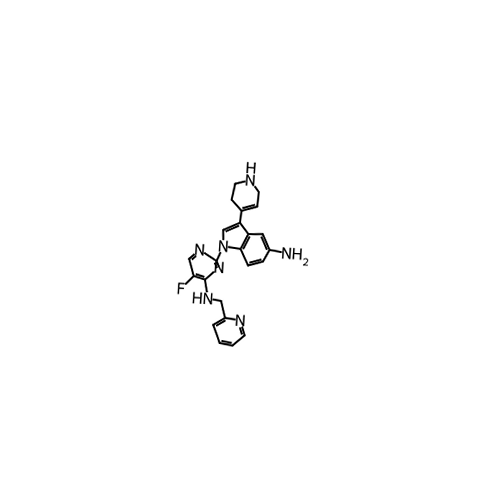 Nc1ccc2c(c1)c(C1=CCNCC1)cn2-c1ncc(F)c(NCc2ccccn2)n1